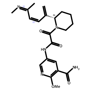 C=C(/C=C\C(C)=N/C)[C@@H]1CCCCN1C(=O)C(=O)Nc1cnc(OC)c(C(N)=O)c1